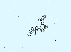 Cc1c(NC(=O)c2cc3c(s2)CCCC3)cccc1-c1cn(C)c(=O)c(Nc2ccc(C(=O)N3CCOCC3)cc2)n1